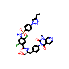 CCc1cn(-c2ccc(S(=O)(=O)Nc3cc(F)c(C(=O)N[C@H](CO)Cc4ccc(-n5c(=O)c6ccncc6n(C)c5=O)cc4)cc3F)cc2)nn1